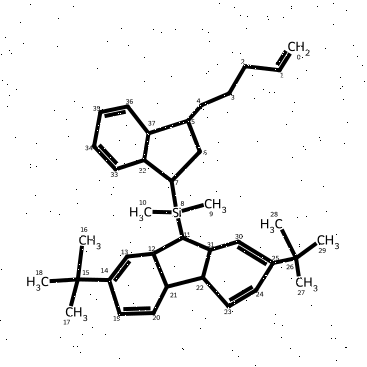 C=CCCCC1CC([Si](C)(C)C2C3C=C(C(C)(C)C)C=CC3C3C=CC(C(C)(C)C)=CC32)C2C=CC=CC12